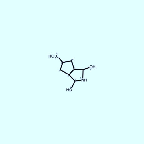 O=C(O)C1CC2C(O)NC(O)C2C1